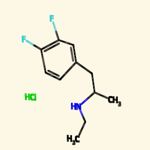 CCNC(C)Cc1ccc(F)c(F)c1.Cl